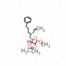 C=CC[C@H](CCCc1ccccc1)C[C@H]1O[C@@H](OC)C2OC(C)(C)O[C@H]21